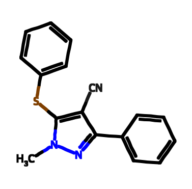 Cn1nc(-c2ccccc2)c(C#N)c1Sc1ccccc1